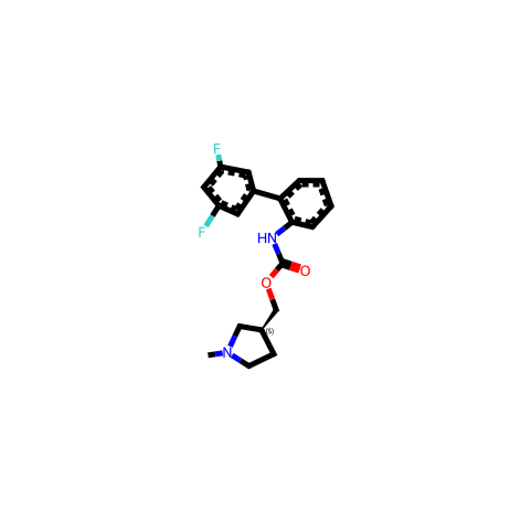 CN1CC[C@H](COC(=O)Nc2ccccc2-c2cc(F)cc(F)c2)C1